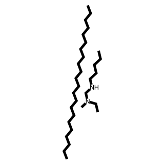 CCCCCCCCCCCCCCCCCCCCCC.CCCCCNCN(C)CC